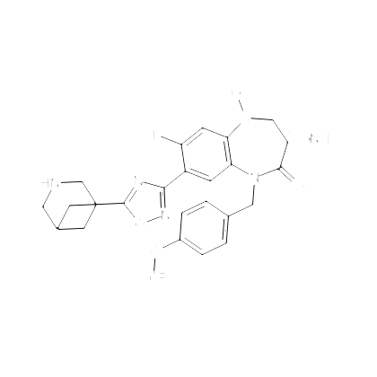 N[C@H]1C[S+]([O-])c2cc(F)c(-c3noc(C45CNCC(C4)C5)n3)cc2N(Cc2ccc(OC(F)(F)F)cc2)C1=O